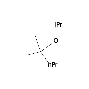 [CH2]C(C)OC(C)(C)CCC